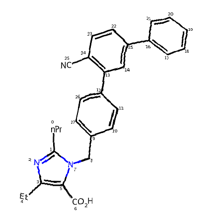 CCCc1nc(CC)c(C(=O)O)n1Cc1ccc(-c2cc(-c3ccccc3)ccc2C#N)cc1